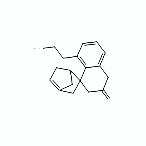 CCCc1cccc2c1C1(CC(=O)C2)CC2=CCC1C2